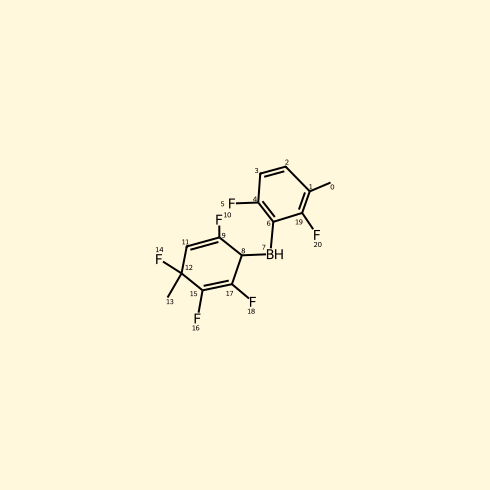 Cc1ccc(F)c(BC2C(F)=CC(C)(F)C(F)=C2F)c1F